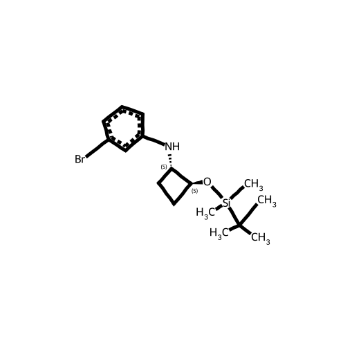 CC(C)(C)[Si](C)(C)O[C@H]1CC[C@@H]1Nc1cccc(Br)c1